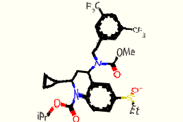 CC[S+]([O-])c1ccc2c(c1)C(N(Cc1cc(C(F)(F)F)cc(C(F)(F)F)c1)C(=O)OC)CC(C1CC1)N2C(=O)OC(C)C